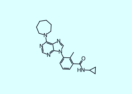 Cc1c(C(=O)NC2CC2)cccc1-n1cnc2c(N3CCCCCC3)ncnc21